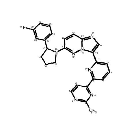 Cc1nccc(-c2cccc(-c3cnc4ccc(N5CCCC5c5cccc(F)c5)nn34)n2)n1